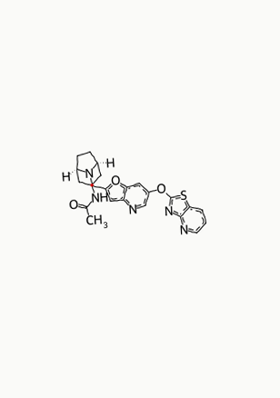 CC(=O)NC1C[C@H]2CC[C@@H](C1)N2Cc1cc2ncc(Oc3nc4ncccc4s3)cc2o1